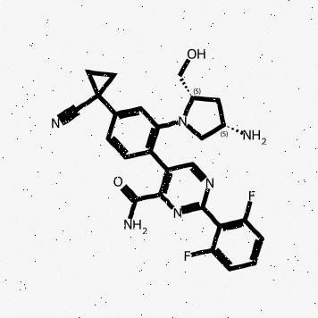 N#CC1(c2ccc(-c3cnc(-c4c(F)cccc4F)nc3C(N)=O)c(N3C[C@@H](N)C[C@H]3CO)c2)CC1